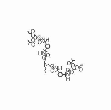 C=CC(=O)OCC(COC(=O)C(=C)C)OC(=O)NC(C)(C)c1cccc(C(C)(C)NC(=O)OCCN(CCCC)CCOC(=O)NC(C)(C)c2cccc(C(C)(C)NC(=O)OC(COC(=O)C=C)COC(=O)C(=C)C)c2)c1